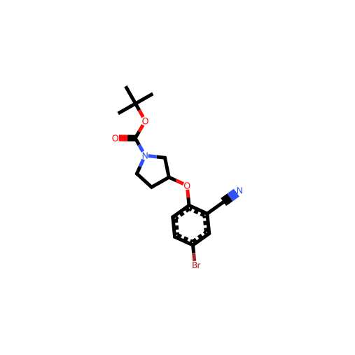 CC(C)(C)OC(=O)N1CCC(Oc2ccc(Br)cc2C#N)C1